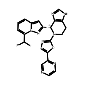 FC(F)c1cccc2cc([C@@H]3c4nc[nH]c4CCN3c3nnc(-c4cnccn4)o3)nn12